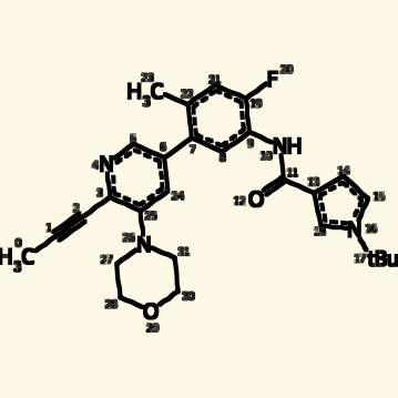 CC#Cc1ncc(-c2cc(NC(=O)c3ccn(C(C)(C)C)c3)c(F)cc2C)cc1N1CCOCC1